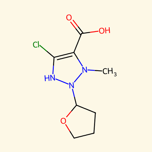 CN1C(C(=O)O)=C(Cl)NN1C1CCCO1